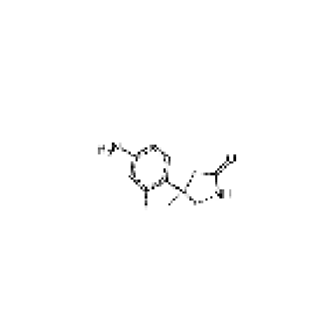 Cc1cc(N)ccc1C1(C)CNC(=O)C1